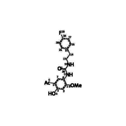 COc1cc(O)c(C(C)=O)cc1NC(=O)NCCc1ccc(F)cc1